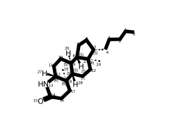 CCCCC[C@H]1CC[C@H]2[C@@H]3CC[C@H]4NC(=O)CC[C@]4(C)[C@H]3CC[C@]12C